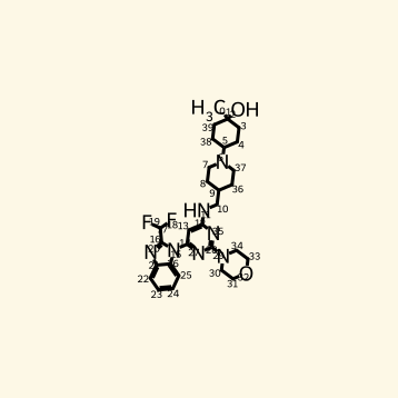 CC1(O)CCC(N2CCC(CNc3cc(-n4c(C(F)F)nc5ccccc54)nc(N4CCOCC4)n3)CC2)CC1